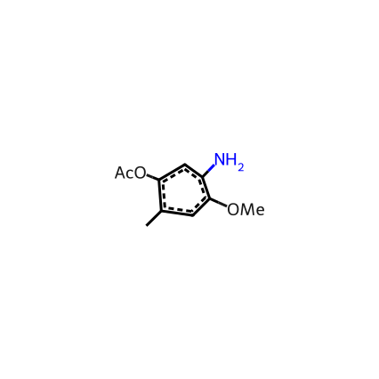 COc1cc(C)c(OC(C)=O)cc1N